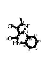 Cc1nn2c(c1Cl)c(=O)[nH]c1ccccc12